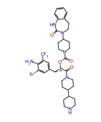 Nc1c(Br)cc(C[C@@H](OC(=O)N2CCC(N3CCc4ccccc4NC3=O)CC2)C(=O)N2CCC(C3CCNCC3)CC2)cc1C(F)(F)F